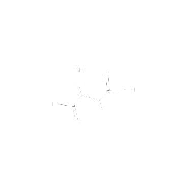 O=C(O)C(O)C(O)C(=O)O.[Fe].[NaH]